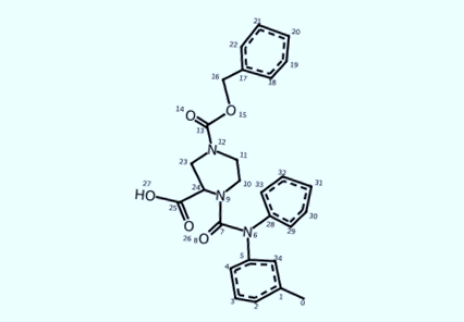 Cc1cccc(N(C(=O)N2CCN(C(=O)OCc3ccccc3)CC2C(=O)O)c2ccccc2)c1